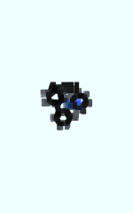 CC(=O)Nc1ccccc1.c1ccc2c(c1)[nH]c1ccccc12